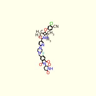 CC1(C)[C@H](NC(=O)c2ccc(N3CCN(Cc4cc5c(cc4F)C(=O)N(C4CCC(=O)NC4=O)C5=O)CC3)nc2)C(C)(C)[C@H]1Oc1ccc(C#N)c(Cl)c1